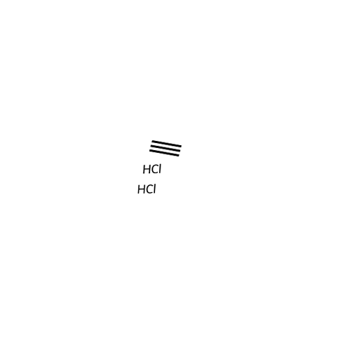 C#C.Cl.Cl